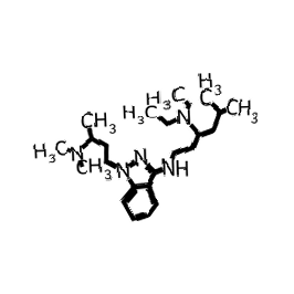 CCN(CC)C(CCNc1nn(CCC(C)N(C)C)c2ccccc12)CC(C)C